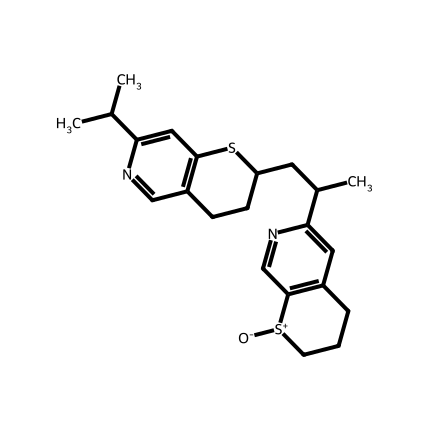 CC(C)c1cc2c(cn1)CCC(CC(C)c1cc3c(cn1)[S+]([O-])CCC3)S2